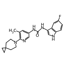 Cc1cc(NC(=O)Nc2c[nH]c3ccc(F)cc23)cnc1N1CCC2(CC1)CC2